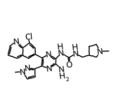 CN1CCC(CNC(=O)Nc2nc(-c3cc(Cl)c4ncccc4c3)c(-c3ccn(C)n3)nc2N)C1